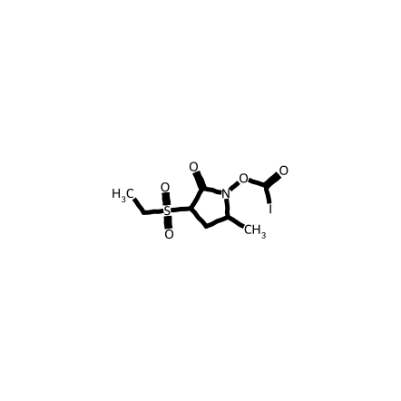 CCS(=O)(=O)C1CC(C)N(OC(=O)I)C1=O